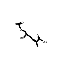 CC(=O)OCC(O)CC=C(C)C(=O)O